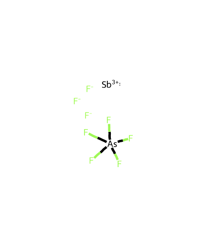 F[As](F)(F)(F)F.[F-].[F-].[F-].[Sb+3]